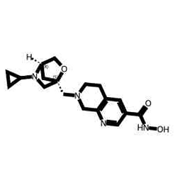 O=C(NO)c1cnc2c(c1)CCN(C[C@]13C[C@H](CO1)N(C1CC1)C3)C2